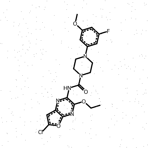 CCOc1nc2oc(Cl)cc2nc1NC(=O)N1CCN(c2cc(F)cc(OC)c2)CC1